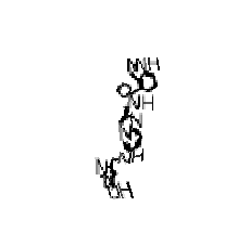 O=C(NCc1cn2cc(NCc3cn(O)cn3)ccc2n1)c1cccc2[nH]ncc12